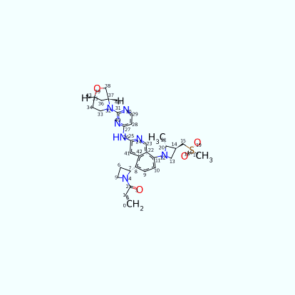 C=CC(=O)N1CC[C@@H]1c1ccc(N2C[C@H](CS(C)(=O)=O)[C@H]2C)c2cnc(Nc3ccnc(N4CC[C@H]5C[C@@H]4CO5)n3)cc12